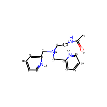 CC(=O)NCCN(Cc1ccccn1)Cc1ccccn1